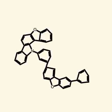 c1ccc(-c2ccc3oc4ccc(-c5cccc(-n6c7ccccc7c7ccc8oc9ccccc9c8c76)c5)cc4c3c2)cc1